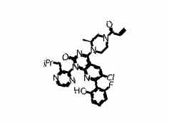 C=CC(=O)N1CCN(c2nc(=O)n(-c3nccnc3CC(C)C)c3nc(-c4c(O)cccc4F)c(Cl)cc23)[C@@H](C)C1